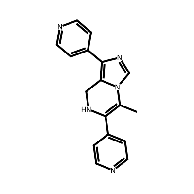 CC1=C(c2ccncc2)NCc2c(-c3ccncc3)ncn21